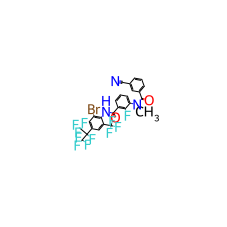 CN(C(=O)c1cccc(C#N)c1)c1cccc(C(=O)Nc2c(Br)cc(C(F)(C(F)(F)F)C(F)(F)F)cc2C(F)(F)F)c1F